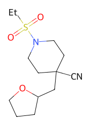 CCS(=O)(=O)N1CCC(C#N)(CC2CCCO2)CC1